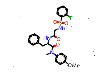 COc1ccc(N(C)C(=O)C(Cc2ccccc2)NC(=O)CNS(=O)(=O)c2ccccc2F)cc1